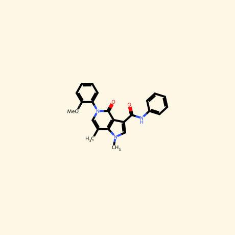 COc1ccccc1-n1cc(C)c2c(c(C(=O)Nc3ccccc3)cn2C)c1=O